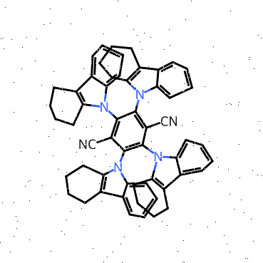 N#Cc1c(-n2c3c(c4ccccc42)CCCC3)c(-n2c3c(c4ccccc42)CCCC3)c(C#N)c(-n2c3c(c4ccccc42)CCCC3)c1-n1c2c(c3ccccc31)CCCC2